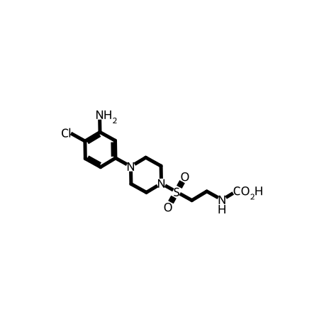 Nc1cc(N2CCN(S(=O)(=O)CCNC(=O)O)CC2)ccc1Cl